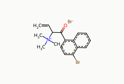 C=CC(C(=O)c1ccc(Br)c2ccccc12)[N+](C)(C)C.[Br-]